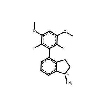 COc1cc(OC)c(F)c(-c2cccc3c2CC[C@H]3N)c1F